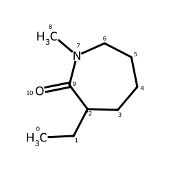 CC[C]1CCCCN(C)C1=O